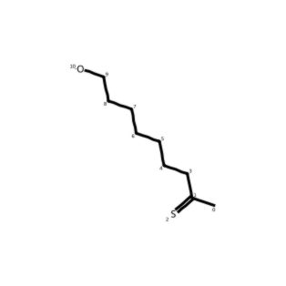 CC(=S)CCCCCCC[O]